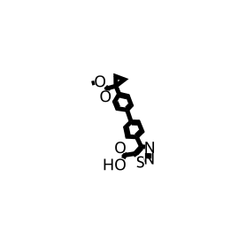 COC(=O)C1(c2ccc(-c3ccc(-c4nnsc4C(=O)O)cc3)cc2)CC1